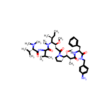 CC[C@H](C)[C@@H]([C@@H](CC(=O)N1CCC[C@H]1[C@H](OC)[C@@H](C)C(=O)N[C@@H](Cc1ccccc1)C(=O)NCc1ccc(N)cc1)OC)N(C)C(=O)C(NC(=O)[C@H](C(C)C)N(C)C)C(C)C